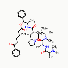 CC[C@H](C)[C@@H]([C@@H](CC(=O)N1CCC[C@H]1[C@H](OC)[C@@H](C)C(=O)N[C@H](C)[C@@H](OC(=O)CCCCC(=O)c1ccccc1)c1ccccc1)OC)N(C)C(=O)[C@@H](NC(=O)[C@H](C(C)C)N(C)CC)C(C)C